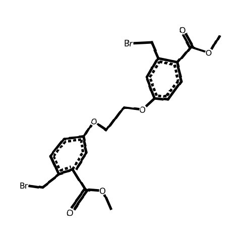 COC(=O)c1ccc(OCCOc2ccc(CBr)c(C(=O)OC)c2)cc1CBr